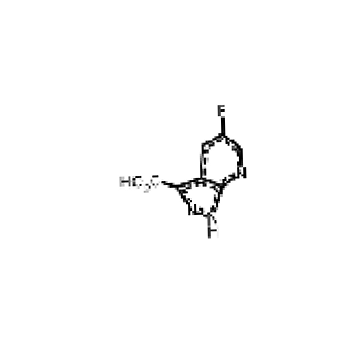 O=C(O)c1n[nH]c2ncc(F)cc12